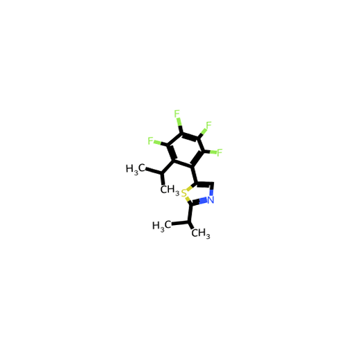 CC(C)c1ncc(-c2c(F)c(F)c(F)c(F)c2C(C)C)s1